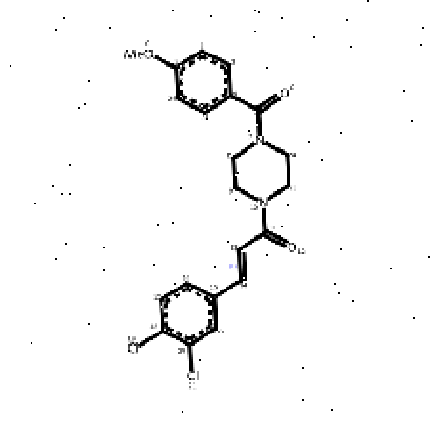 COc1ccc(C(=O)N2CCN(C(=O)/C=C/c3ccc(Cl)c(Cl)c3)CC2)cc1